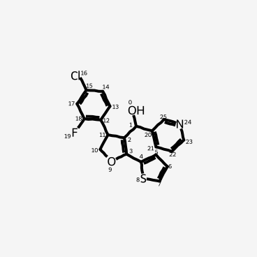 OC(C1=C(c2cccs2)OCC1c1ccc(Cl)cc1F)c1cccnc1